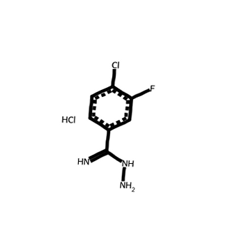 Cl.N=C(NN)c1ccc(Cl)c(F)c1